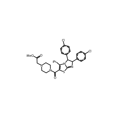 COC(=O)CN1CCN(C(=O)C2=C(C(C)C)N3C(=NC(c4ccc(Cl)cc4)C3c3ccc(Cl)cc3)S2)CC1